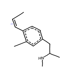 C/C=C\c1ccc(CC(C)NC)cc1C